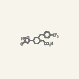 O=C(O)CN1CCC(c2cc(=O)[nH]o2)CC1Cc1ccc(C(F)(F)F)cc1